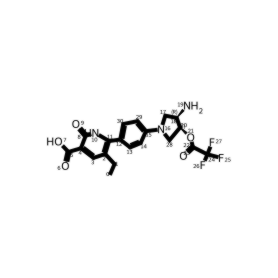 CCc1cc(C(=O)O)c(=O)[nH]c1-c1ccc(N2C[C@@H](N)[C@@H](OC(=O)C(F)(F)F)C2)cc1